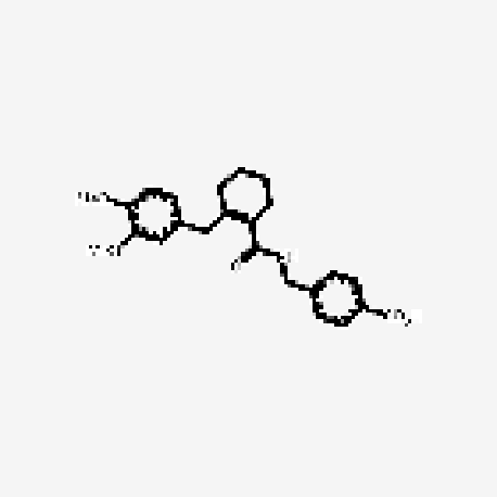 COc1ccc(CC2=C(C(=O)NCc3ccc(C(=O)O)cc3)CCCC2)cc1OC